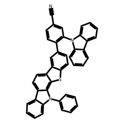 N#Cc1ccc(-c2ccc3sc4c(ccc5c6ccccc6n(-c6ccccc6)c54)c3c2)c(-n2c3ccccc3c3ccccc32)c1